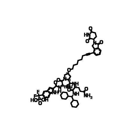 CCCC[C@H](NC(=O)c1cc2cc(C(F)(F)P(=O)(O)O)ccc2[nH]1)C(=O)N1C[C@H](OCCCCCCC#Cc2cccc3c2CN(C2CCC(=O)NC2=O)C3=O)C[C@H]1C(=O)N[C@@H](CCC(N)=O)C(=O)NC(C1CCCCC1)C1CCCCC1